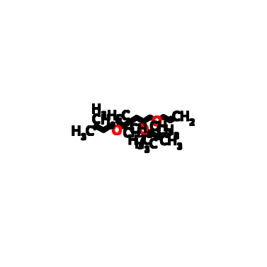 C=CCOCC(CC(C)(C)C(C)(C)OCCC(C)C)OC(C)(C)C(C)(C)C